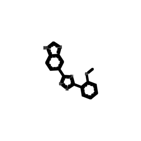 COc1ccccc1-c1noc(-c2ccc3[nH]cnc3c2)n1